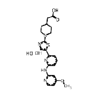 COc1ccnc(Nc2cccc(-c3cnc(N4CCC(CC(=O)O)CC4)s3)n2)c1.Cl.Cl